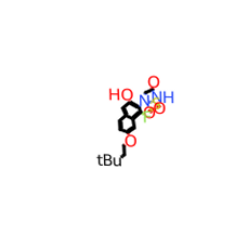 CC(C)(C)CCOc1ccc2cc(O)c(N3CC(=O)NS3(=O)=O)c(F)c2c1